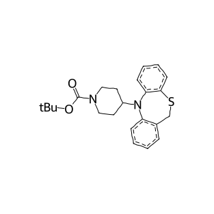 CC(C)(C)OC(=O)N1CCC(N2c3ccccc3CSc3ccccc32)CC1